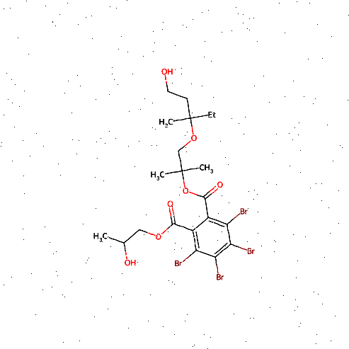 CCC(C)(CCO)OCC(C)(C)OC(=O)c1c(Br)c(Br)c(Br)c(Br)c1C(=O)OCC(C)O